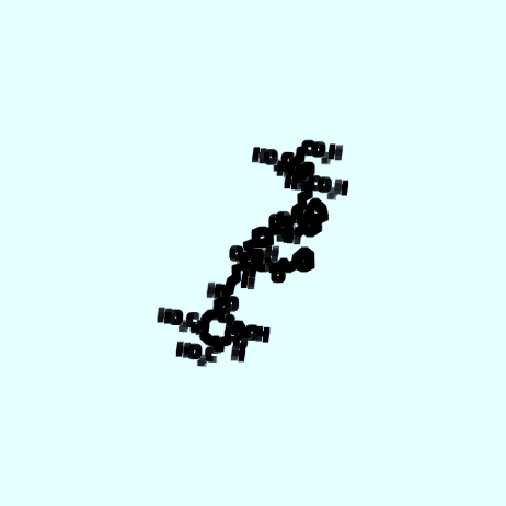 O=C(O)CC[C@H](NC(=O)N[C@@H](CCCCNC(=O)[C@H](Cc1ccc2ccccc2c1)NC(=O)C1CCC(CNC(=O)[C@H](CCCCNC(=O)CN2CCN(CC(=O)O)CCN(CC(=O)O)CCN(CC(O)O)CC2)NC(=O)CNC(=O)CCc2ccccc2)CC1)C(=O)O)C(=O)O